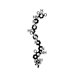 CCN(C)S(=O)(=O)Nc1cccc(C(=O)c2c[nH]c3ncc(-c4ccc(N5CCN(C(=O)CC6(O)CCN(c7ccc(NC8CCC(=O)NC8=O)cn7)CC6)CC5)nc4)cc23)c1F